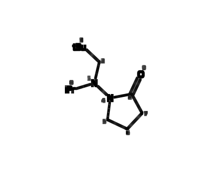 CC(C)N(CC(C)(C)C)N1CCCC1=O